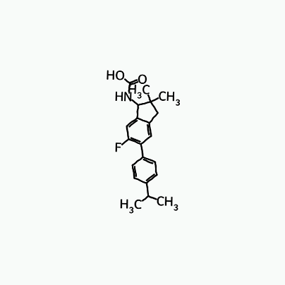 CC(C)c1ccc(-c2cc3c(cc2F)C(NC(=O)O)C(C)(C)C3)cc1